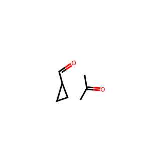 CC(C)=O.O=CC1CC1